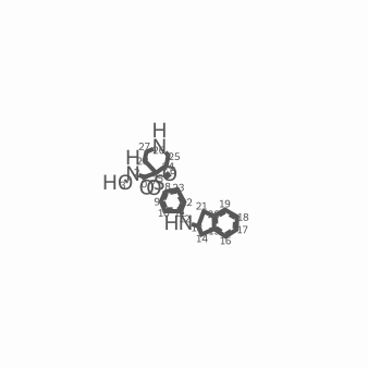 O=C(NO)C1(S(=O)(=O)c2ccc(NC3Cc4ccccc4C3)cc2)CCNCC1